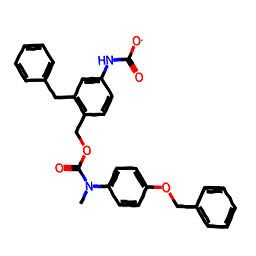 CN(C(=O)OCc1ccc(NC([O])=O)cc1Cc1ccccc1)c1ccc(OCc2ccccc2)cc1